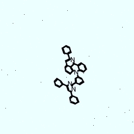 c1ccc(-c2cc(-c3ccccc3)nc(-c3cccc(N4c5ccccc5-c5nc(-c6ccccc6)cc6cccc4c56)c3)n2)cc1